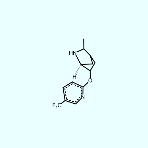 CC1N[C@H]2CC1CC2Oc1ccc(C(F)(F)F)cn1